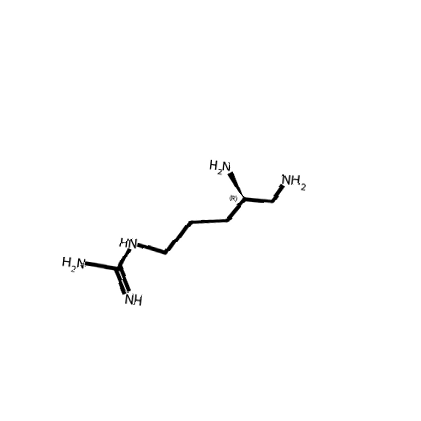 N=C(N)NCCC[C@@H](N)CN